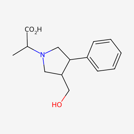 CC(C(=O)O)N1CC(CO)C(c2ccccc2)C1